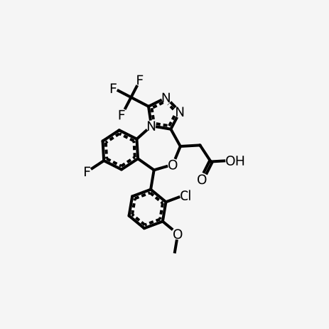 COc1cccc(C2OC(CC(=O)O)c3nnc(C(F)(F)F)n3-c3ccc(F)cc32)c1Cl